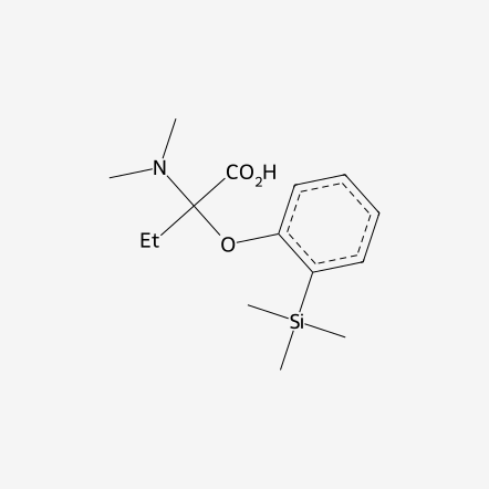 CCC(Oc1ccccc1[Si](C)(C)C)(C(=O)O)N(C)C